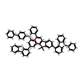 CC1(C)c2ccc(-c3ccccc3N(c3ccc(-c4ccccc4)cc3)c3cccc(-c4cccc5c4oc4ccccc45)c3)cc2-c2ccc(-c3cccc4c3c3ccccc3n4-c3ccccc3)cc21